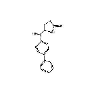 O=C1CCC(C(O)c2ccc(-c3ccccc3)cc2)N1